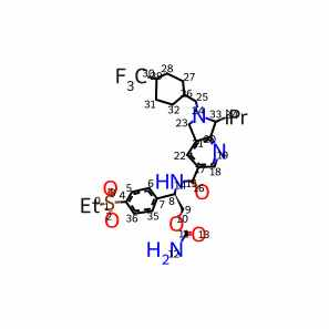 CCS(=O)(=O)c1ccc([C@H](COC(N)=O)NC(=O)c2cnc3c(c2)CN(CC2CCC(C(F)(F)F)CC2)C3C(C)C)cc1